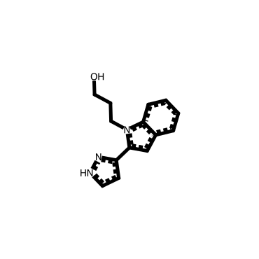 OCCCn1c(-c2cc[nH]n2)cc2ccccc21